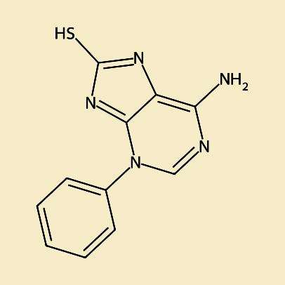 Nc1ncn(-c2ccccc2)c2nc(S)nc1-2